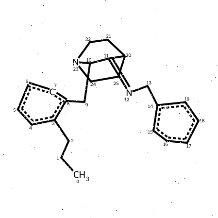 CCCc1ccccc1CC1C(=NCc2ccccc2)C2CCN1CC2